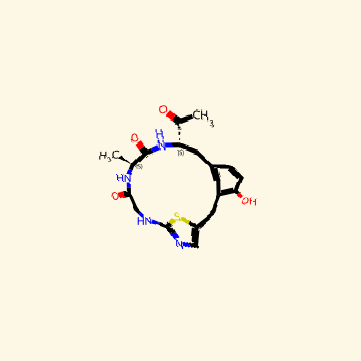 CC(=O)[C@@H]1Cc2ccc(O)c(c2)Cc2cnc(s2)NCC(=O)N[C@@H](C)C(=O)N1